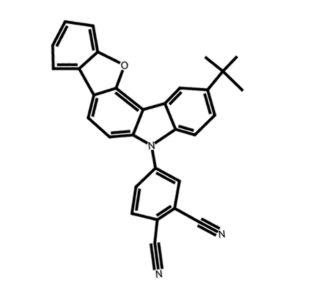 CC(C)(C)c1ccc2c(c1)c1c3oc4ccccc4c3ccc1n2-c1ccc(C#N)c(C#N)c1